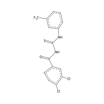 O=C(NC(=S)Nc1cccc(C(F)(F)F)c1)c1ccc(Cl)c(Cl)c1